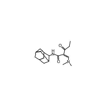 CCC(=O)/C(=C/N(C)C)C(=O)NC1C2CC3CC(C2)CC1C3